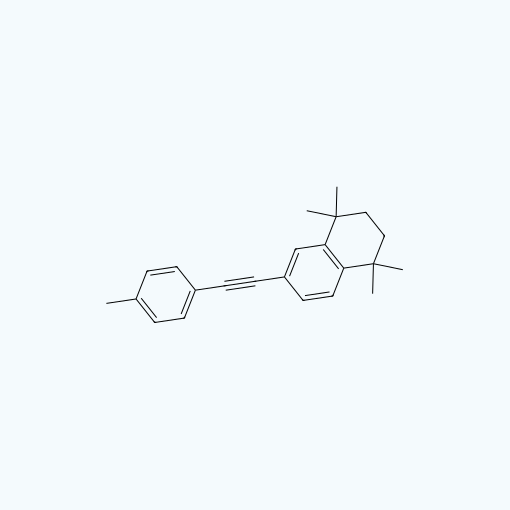 Cc1ccc(C#Cc2ccc3c(c2)C(C)(C)CCC3(C)C)cc1